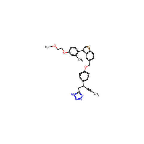 CC#CC(Cc1nnn[nH]1)c1ccc(OCc2ccc3scc(-c4ccc(OCCOC)cc4C)c3c2)cc1